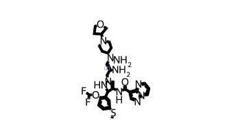 CSc1ccc(OC(F)F)c(C2NN(C/C(N)=C/N(N)C3CCN(C4CCOC4)CC3)C=C2NC(=O)c2cnn3cccnc23)c1